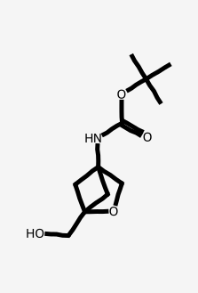 CC(C)(C)OC(=O)NC12COC(CO)(C1)C2